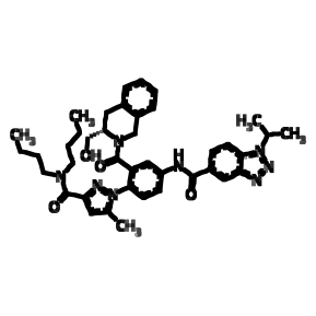 CCCCN(CCCC)C(=O)c1cc(C)n(-c2ccc(NC(=O)c3ccc4c(c3)nnn4C(C)C)cc2C(=O)N2Cc3ccccc3C[C@H]2CO)n1